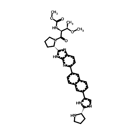 COC(=O)N[C@H](C(=O)N1CCC[C@H]1c1nc2ccc(-c3ccc4cc(-c5cnc([C@@H]6CCCN6)[nH]5)ccc4c3)nc2[nH]1)[C@@H](C)OC